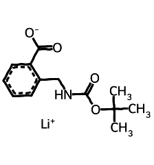 CC(C)(C)OC(=O)NCc1ccccc1C(=O)[O-].[Li+]